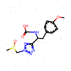 COc1ccc(CC(NC(=O)O)c2nnn(C[S+](C)[O-])n2)cc1